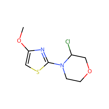 COc1csc(N2CCOCC2Cl)n1